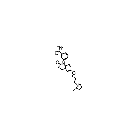 C[C@@H]1CCCN1CCCOc1ccc2c(c1)CCC(=O)N2c1cccc(C(=O)N(C)C)c1